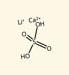 O=S(=O)(O)O.[Ca+2].[Li+]